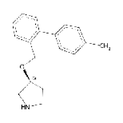 Cc1ccc(-c2ccccc2CO[C@H]2CCNC2)cc1